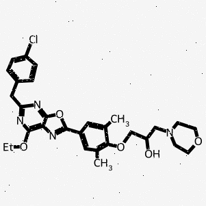 CCOc1nc(Cc2ccc(Cl)cc2)nc2oc(-c3cc(C)c(OCC(O)CN4CCOCC4)c(C)c3)nc12